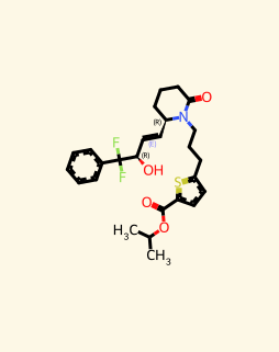 CC(C)OC(=O)c1ccc(CCCN2C(=O)CCC[C@@H]2/C=C/[C@@H](O)C(F)(F)c2ccccc2)s1